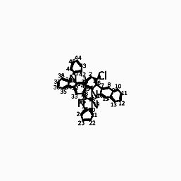 Clc1cccc2c1c1cc3ccccc3cc1n2-c1nc2ccccc2nc1-c1ccc2c(c1)c1ccccc1n2-c1ccccc1